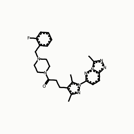 Cc1nn(-c2ccc3nnc(C)n3n2)c(C)c1CCC(=O)N1CCN(Cc2ccccc2F)CC1